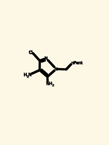 CCCCCCn1nc(Cl)c(N)c1N